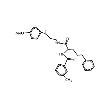 COc1ccc(NCCNC(=O)C(CCCc2ccccc2)NC(=O)c2cccc(C)c2)cc1